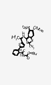 COc1cc2nc(C)nc(NC(C)c3ccc(-c4ccccc4C(C)NC(=O)OC(C)(C)C)s3)c2cc1OC